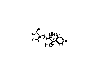 CN1CCC[C@@H]1COC(=O)C(O)c1ccccc1Br